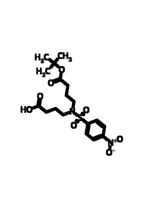 CC(C)(C)OC(=O)CCCN(CCCC(=O)O)S(=O)(=O)c1ccc([N+](=O)[O-])cc1